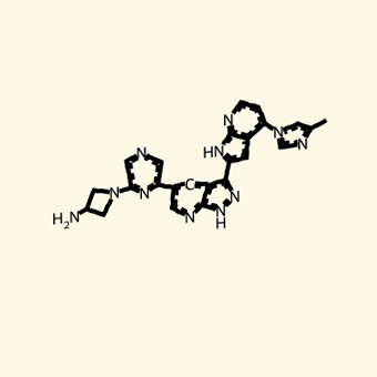 Cc1cn(-c2ccnc3[nH]c(-c4n[nH]c5ncc(-c6cncc(N7CC(N)C7)n6)cc45)cc23)cn1